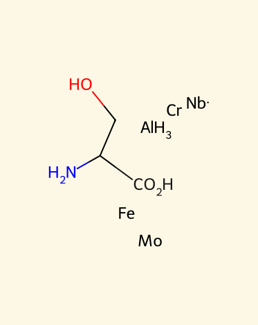 NC(CO)C(=O)O.[AlH3].[Cr].[Fe].[Mo].[Nb]